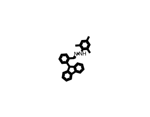 Cc1cc(C)c(NN=Cc2ccccc2C2c3ccccc3-c3ccccc32)c(C)c1